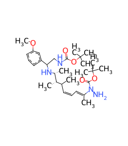 COc1cccc(C(CNC(=O)OC(C)(C)C)N[C@H](C)[C@@H](C)C(C)/C=C\C=C(/C)N(N)C(=O)OC(C)(C)C)c1